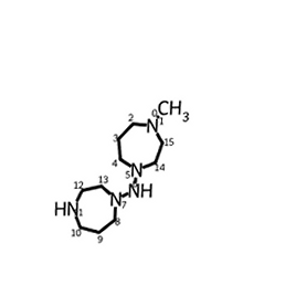 CN1CCCN(NN2CCCNCC2)CC1